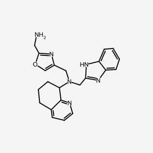 NCc1nc(CN(Cc2nc3ccccc3[nH]2)C2CCCc3cccnc32)co1